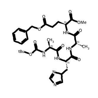 COC(=O)[C@H](CCC(=O)OCc1ccccc1)NC(=O)[C@H](C)NC(=O)[C@H](CC1C=NC=N1)NC(=O)[C@H](C)NC(=O)OC(C)(C)C